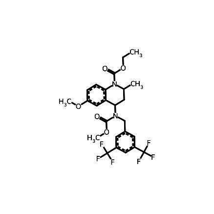 CCOC(=O)N1c2ccc(OC)cc2C(N(Cc2cc(C(F)(F)F)cc(C(F)(F)F)c2)C(=O)OC)CC1C